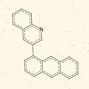 [c]1nc2ccccc2cc1-c1cccc2cc3ccccc3cc12